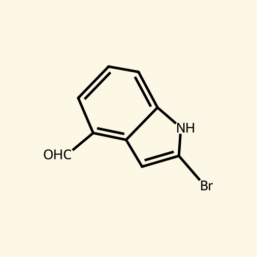 O=Cc1cccc2[nH]c(Br)cc12